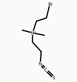 C[N+](C)(CCBr)CCN=C=S